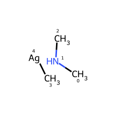 CNC.[CH3][Ag]